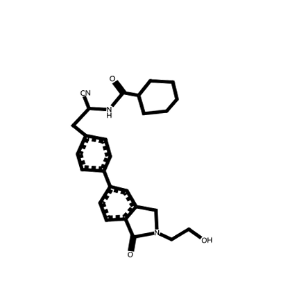 N#CC(Cc1ccc(-c2ccc3c(c2)CN(CCO)C3=O)cc1)NC(=O)C1CCCCC1